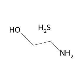 NCCO.S